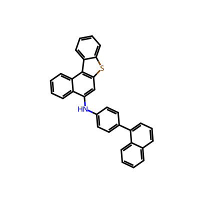 c1ccc2c(-c3ccc(Nc4cc5sc6ccccc6c5c5ccccc45)cc3)cccc2c1